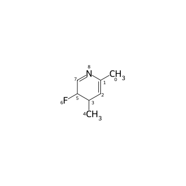 CC1=CC(C)C(F)C=N1